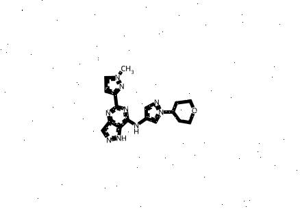 Cn1ccc(-c2nc(Nc3cnn(C4CCOCC4)c3)c3[nH]ncc3n2)n1